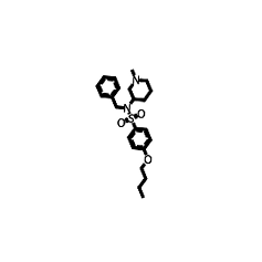 CCCCOc1ccc(S(=O)(=O)N(Cc2ccccc2)C2CCCN(C)C2)cc1